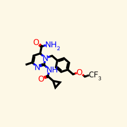 CC1=CC(C(N)=O)N(Cc2ccc(COCC(F)(F)F)cc2)C(NC(=O)C2CC2)=N1